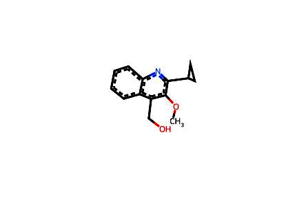 COc1c(C2CC2)nc2ccccc2c1CO